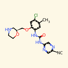 [C-]#[N+]c1cnc(NC(=O)Nc2cc(C)c(Cl)cc2OC[C@@H]2CNCCO2)cn1